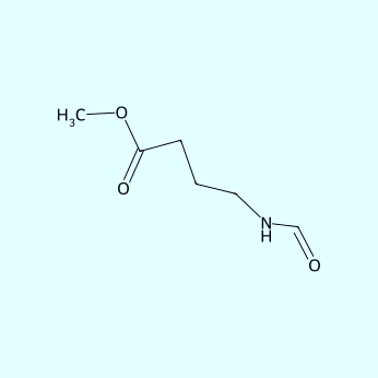 COC(=O)CCCNC=O